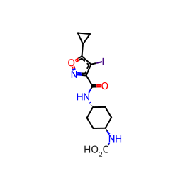 O=C(O)N[C@H]1CC[C@H](NC(=O)c2noc(C3CC3)c2I)CC1